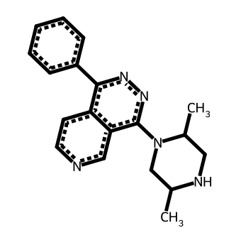 CC1CN(c2nnc(-c3ccccc3)c3ccncc23)C(C)CN1